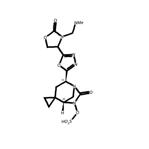 CNCN1C(=O)OCC1c1nnc([C@@H]2CC3(CC3)[C@@H]3CN2C(=O)N3OS(=O)(=O)O)o1